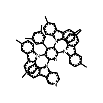 Cc1cc(C)cc(-c2c(-n3c4ccc(C)cc4c4cc(C)ccc43)c(-n3c4ccccc4c4cnccc43)nc(-n3c4ccc(C)cc4c4cc(C)ccc43)c2-n2c3ccc(C)cc3c3cc(C)ccc32)c1